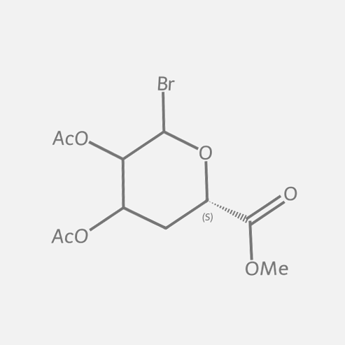 COC(=O)[C@@H]1CC(OC(C)=O)C(OC(C)=O)C(Br)O1